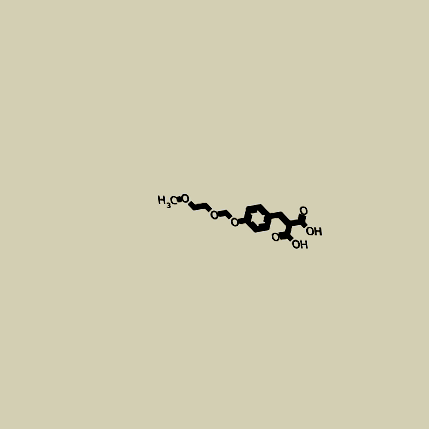 COCCOCOc1ccc(C=C(C(=O)O)C(=O)O)cc1